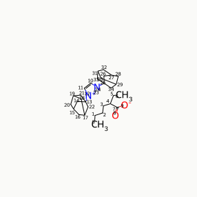 CCCCC(CC)C(=O)[O-].c1c[n+](C23CC4CC(CC(C4)C2)C3)cn1C12CC3CC(CC(C3)C1)C2